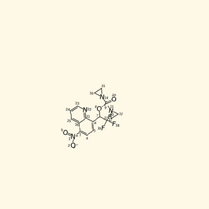 O=[N+]([O-])c1ccc(C(OP(=O)(N2CC2)N2CC2)C(F)(F)F)c2ncccc12